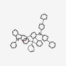 C1=CCCC(C2(c3ccccc3)c3ccccc3-c3c(N(c4ccc(-c5ccccc5)cc4)c4ccc(-c5ccccc5)cc4)ccc(-c4ccc5c(c4)c4ccccc4n5-c4ccccc4)c32)=C1